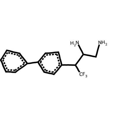 NCC(N)C(c1ccc(-c2ccccc2)cc1)C(F)(F)F